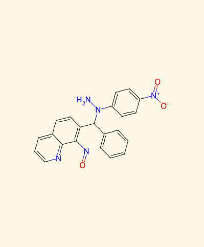 NN(c1ccc([N+](=O)[O-])cc1)C(c1ccccc1)c1ccc2cccnc2c1N=O